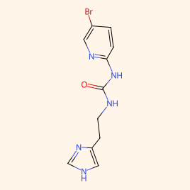 O=C(NCCc1c[nH]cn1)Nc1ccc(Br)cn1